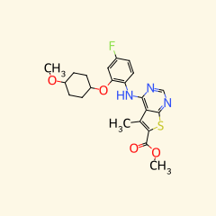 COC(=O)c1sc2ncnc(Nc3ccc(F)cc3OC3CCC(OC)CC3)c2c1C